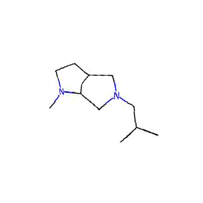 CC(C)CN1CC2CCN(C)C2C1